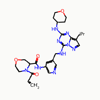 C=CC(=O)N1CCOCC1C(=O)Nc1cncc(CNc2nc(NC3CCOCC3)nc3c(C(C)C)cnn23)c1